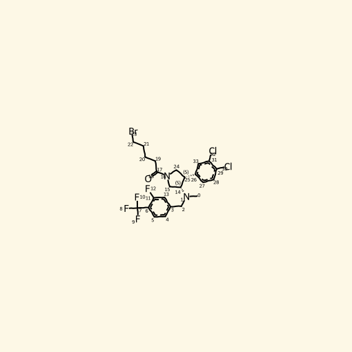 CN(Cc1ccc(C(F)(F)F)c(F)c1)[C@@H]1CN(C(=O)CCCCBr)C[C@@H]1c1ccc(Cl)c(Cl)c1